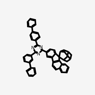 c1ccc(-c2ccc(-c3nc(-c4cccc(-c5ccccc5)c4)nc(-c4ccc5c(c4)-c4ccc6ccccc6c4C54C5CC6CC(C5)CC4C6)n3)cc2)cc1